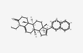 CCN1C(=O)CC[C@@]2(C)C1=CC[C@@H]1[C@@H]2CC[C@]2(C)C(c3cnc4ccccc4c3)=CC[C@@H]12